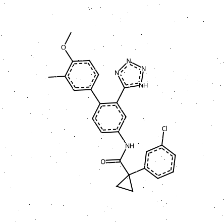 COc1ccc(-c2ccc(NC(=O)C3(c4cccc(Cl)c4)CC3)cc2-c2nnn[nH]2)cc1C